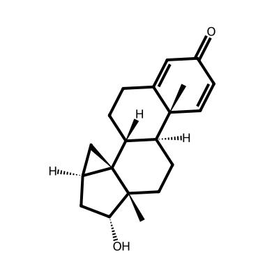 C[C@]12C=CC(=O)C=C1CC[C@@H]1[C@@H]2CC[C@]2(C)[C@H](O)C[C@H]3C[C@@]312